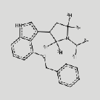 [2H]C([2H])N1C([2H])([2H])CC(c2c[nH]c3cccc(OCc4ccccc4)c23)C1([2H])[2H]